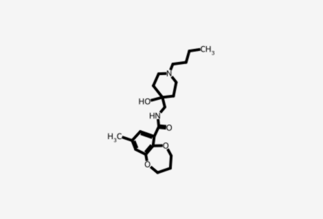 CCCCN1CCC(O)(CNC(=O)c2cc(C)cc3c2OCCCO3)CC1